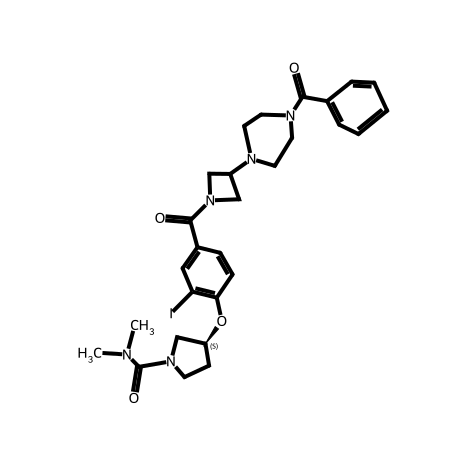 CN(C)C(=O)N1CC[C@H](Oc2ccc(C(=O)N3CC(N4CCN(C(=O)c5ccccc5)CC4)C3)cc2I)C1